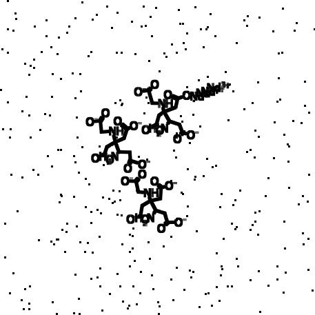 NC(CC(=O)[O-])C(CC(=O)[O-])(CC(=O)[O-])NCC(=O)[O-].NC(CC(=O)[O-])C(CC(=O)[O-])(CC(=O)[O-])NCC(=O)[O-].NC(CC(=O)[O-])C(CC(=O)[O-])(CC(=O)[O-])NCC(=O)[O-].[Nd+3].[Nd+3].[Nd+3].[Nd+3]